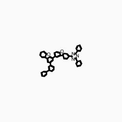 c1ccc(-c2cccc(-c3cc(-c4ccc5oc6cc(-c7nc(-c8ccccc8)nc(-c8ccccc8)n7)ccc6c5c4)c4oc5ccccc5c4c3)c2)cc1